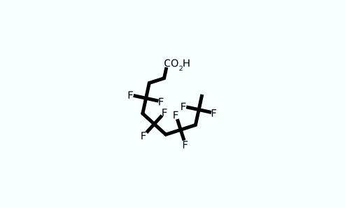 CC(F)(F)CC(F)(F)CC(F)(F)CC(F)(F)CCC(=O)O